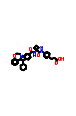 O=C(O)CCc1ccc(NC(=O)C2(NC(=O)c3ccc4c(C5CCCCC5)c5n(c4c3)CCOc3ccccc3-5)CCC2)cc1